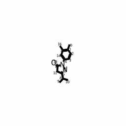 Cc1ccc(N2N=C(C(C)C)CC2=O)cc1C